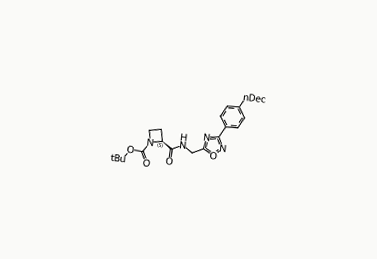 CCCCCCCCCCc1ccc(-c2noc(CNC(=O)[C@@H]3CCN3C(=O)OC(C)(C)C)n2)cc1